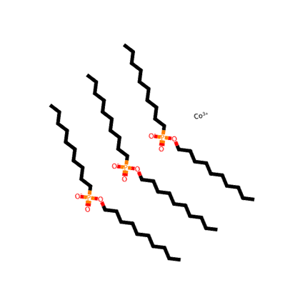 CCCCCCCCCCOP(=O)([O-])CCCCCCCCCC.CCCCCCCCCCOP(=O)([O-])CCCCCCCCCC.CCCCCCCCCCOP(=O)([O-])CCCCCCCCCC.[Co+3]